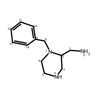 NCC1CNCCN1Cc1ccccc1